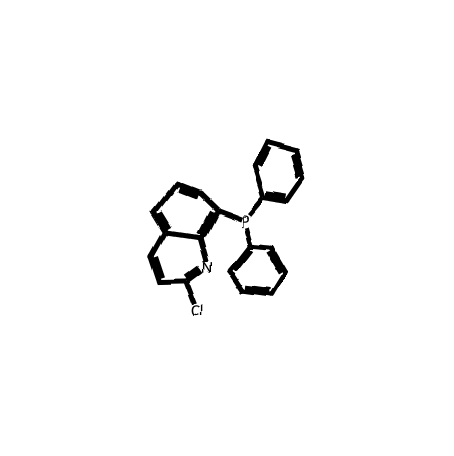 Clc1ccc2cccc(P(c3ccccc3)c3ccccc3)c2n1